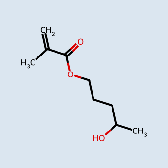 C=C(C)C(=O)OCCCC(C)O